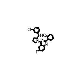 Oc1ccccc1-c1nc(N2CCCC2Cc2cccc(Cl)c2)c2cc(F)ccc2n1